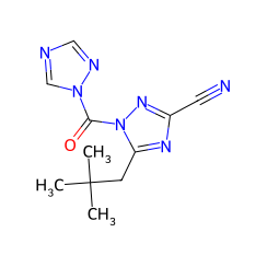 CC(C)(C)Cc1nc(C#N)nn1C(=O)n1cncn1